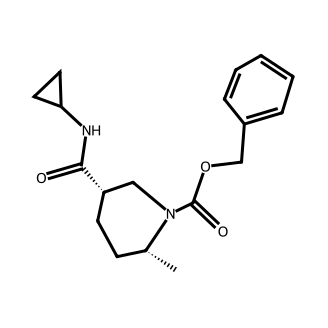 C[C@@H]1CC[C@H](C(=O)NC2CC2)CN1C(=O)OCc1ccccc1